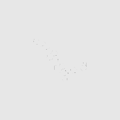 Fc1c(C2=Cc3ccc4c5c(ccc(c35)C2)CC(c2ccc3ccccc3c2)=C4)ccc(N(c2ccccc2)c2ccc(-c3cccnc3)cc2)c1F